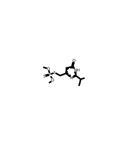 COP(=S)(OC)SCc1cc(=O)[nH]c(C(C)C)n1